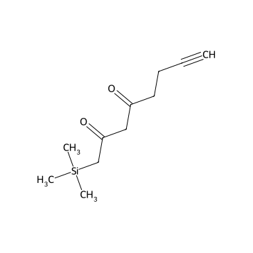 C#CCCC(=O)CC(=O)C[Si](C)(C)C